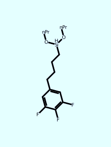 CCCO[SiH](CCCCc1cc(F)c(F)c(F)c1)OCCC